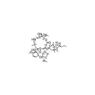 CCCNC[C@]1(O)[C@H](C)O[C@@H](O[C@H]2[C@H](C)[C@@H](O[C@@H]3O[C@H](C)C[C@H](N(C)C)[C@H]3Oc3ccc(OC)nc3)[C@](C)(O)C[C@@H](C)CN[C@H](C)[C@@H](O)[C@](C)(O)[C@@H](CC)OC(=O)[C@@H]2C)C[C@@]1(C)OC